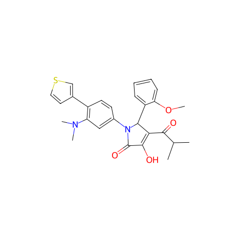 COc1ccccc1C1C(C(=O)C(C)C)=C(O)C(=O)N1c1ccc(-c2ccsc2)c(N(C)C)c1